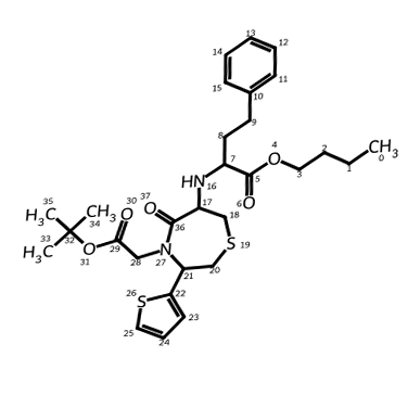 CCCCOC(=O)C(CCc1ccccc1)NC1CSCC(c2cccs2)N(CC(=O)OC(C)(C)C)C1=O